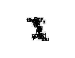 CC(C)(C)OC(=O)N[C@H](c1cn2ncc(C(=O)[C@@]3(C)C[C@@H](C(F)(F)F)N(C(=O)OC(C)(C)C)C3=O)cc2n1)C1CCC(F)(F)CC1